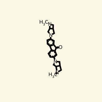 CN1CC2CN(c3ccc4c(c3)C(=O)c3cc(N5CC6CN(C)C6C5)ccc3-4)CC21